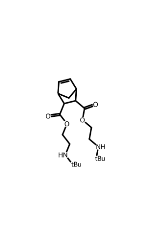 CC(C)(C)NCCOC(=O)C1C2C=CC(C2)C1C(=O)OCCNC(C)(C)C